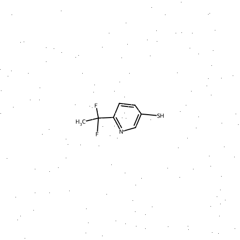 CC(F)(F)c1ccc(S)cn1